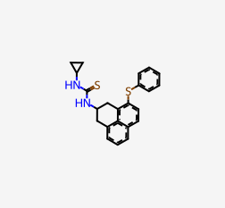 S=C(NC1CC1)NC1Cc2cccc3ccc(Sc4ccccc4)c(c23)C1